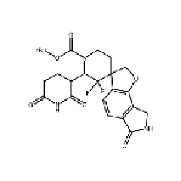 CC(C)(C)OC(=O)N1CCC2(COc3c2ccc2c3CNC2=O)C(F)(F)C1C1CCC(=O)NC1=O